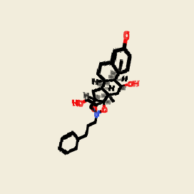 C[C@]12C=CC(=O)C=C1CC[C@@H]1[C@@H]2[C@@H](O)C[C@@]2(C)[C@H]1C[C@H]1CN(CCCC3C=CCCC3)O[C@]12C(=O)CO